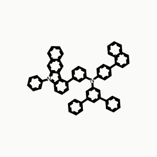 c1ccc(-c2cc(-c3ccccc3)cc(N(c3ccc(-c4cccc5ccccc45)cc3)c3cccc(-c4cccc5c4c4cc6ccccc6cc4n5-c4ccccc4)c3)c2)cc1